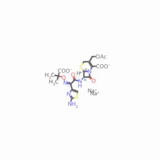 CC(=O)OCC1=C(C(=O)[O-])N2C(=O)[C@@H](NC(=O)/C(=N\OC(C)(C)C(=O)[O-])c3csc(N)n3)[C@H]2SC1.[Na+].[Na+]